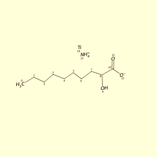 CCCCCCCCC(O)C(=O)[O-].[NH4+].[Ti]